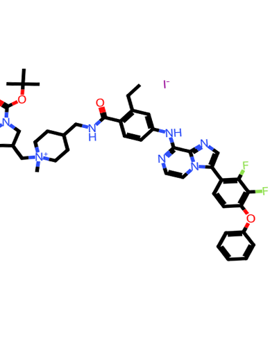 CCc1cc(Nc2nccn3c(-c4ccc(Oc5ccccc5)c(F)c4F)cnc23)ccc1C(=O)NCC1CC[N+](C)(CC2CCN(C(=O)OC(C)(C)C)C2)CC1.[I-]